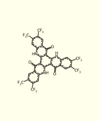 O=c1c2cc(C(F)(F)F)c(C(F)(F)F)cc2[nH]c2c1c1[nH]c3cc(C(F)(F)F)c(C(F)(F)F)cc3c(=O)c1c1[nH]c3cc(C(F)(F)F)c(C(F)(F)F)cc3c(=O)c21